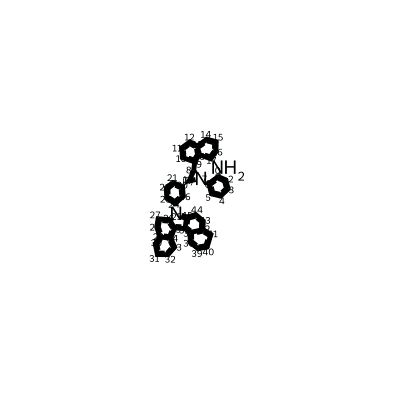 Nc1ccccc1N1C(c2cccc3ccccc23)[C@H]1c1cccc(-n2c3ccc4ccccc4c3c3c4ccccc4ccc32)c1